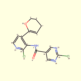 O=C(Nc1c(C2=CCCCO2)ccnc1Cl)c1cnc(Cl)nc1